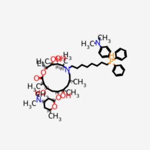 CC[C@H]1OC(=O)[C@H](C)[C@@H](O)C[C@@H](O[C@H]2C[C@@H](N(C)C)C[C@@H](C)O2)[C@](C)(O)C[C@@H](C)CN(CCCCCCCC[PH](c2ccccc2)(c2ccccc2)c2ccc(N(C)C)cc2)[C@H](C)[C@@H](O)[C@]1(C)O